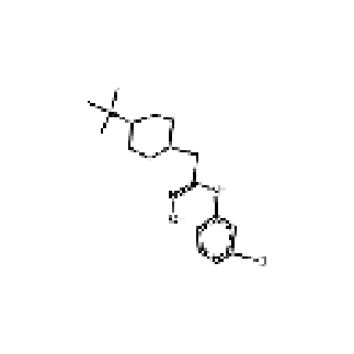 CC(C)(C)[C@H]1CC[C@@H](CC(=NO)Nc2cccc(Cl)c2)CC1